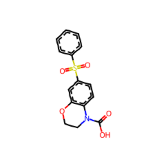 O=C(O)N1CCOc2cc(S(=O)(=O)c3ccccc3)ccc21